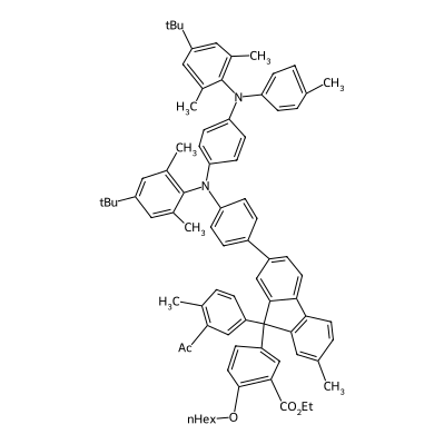 CCCCCCOc1ccc(C2(c3ccc(C)c(C(C)=O)c3)c3cc(C)ccc3-c3ccc(-c4ccc(N(c5ccc(N(c6ccc(C)cc6)c6c(C)cc(C(C)(C)C)cc6C)cc5)c5c(C)cc(C(C)(C)C)cc5C)cc4)cc32)cc1C(=O)OCC